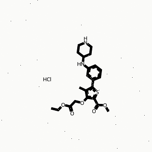 CCOC(=O)COc1c(C(=O)OC)sc(-c2cccc(NC3CCNCC3)c2)c1C.Cl